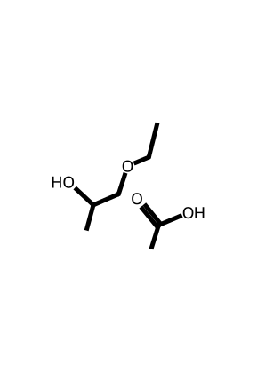 CC(=O)O.CCOCC(C)O